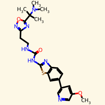 COc1cncc(-c2ccc3nc(NC(=O)NCCc4noc(C(C)(C)N(C)C)n4)sc3c2)c1